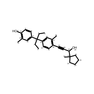 CCC(CC)(c1ccc(O)c(C)c1)c1ccc(C#CC(O)C2(C)CCCC2)c(C)c1